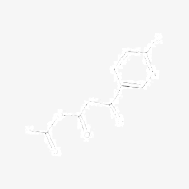 CC(=O)OC(=O)CC(=O)c1ccc(Cl)nc1